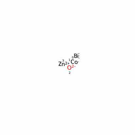 [Bi].[Co].[O-2].[Zn+2]